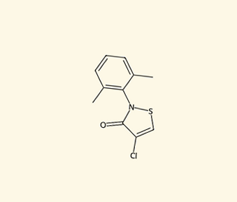 Cc1cccc(C)c1-n1scc(Cl)c1=O